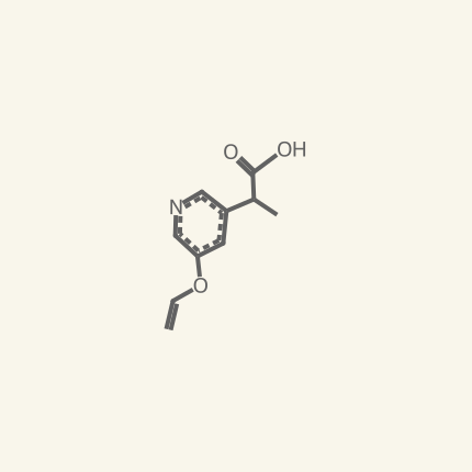 C=COc1cncc(C(C)C(=O)O)c1